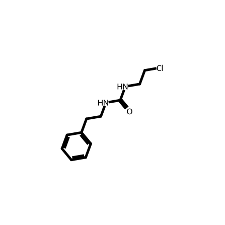 O=C(NCCCl)NCCc1ccccc1